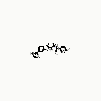 COc1ccc(N(C=O)/N=C(/C)C(C)C(=O)Nc2cccc(-c3ncc[nH]3)c2)cn1